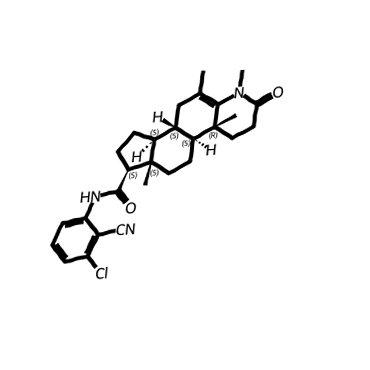 CC1=C2N(C)C(=O)CC[C@]2(C)[C@H]2CC[C@]3(C)[C@@H](C(=O)Nc4cccc(Cl)c4C#N)CC[C@H]3[C@@H]2C1